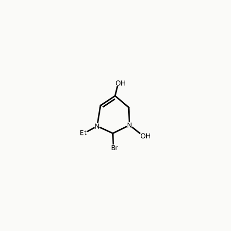 CCN1C=C(O)CN(O)C1Br